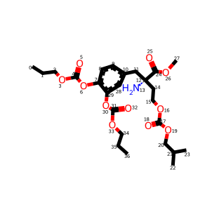 CCCOC(=O)Oc1ccc(C[C@](N)(CCOC(=O)OCC(C)C)C(=O)OC)cc1OC(=O)OCCC